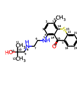 Cc1ccc(NCCNCC(C)(C)O)c2c(=O)c3ccccc3sc12